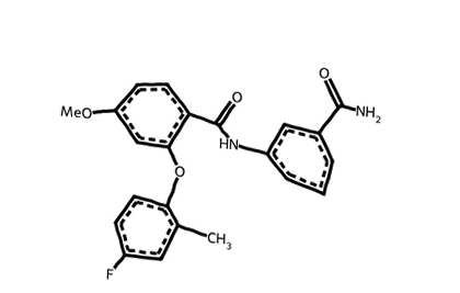 COc1ccc(C(=O)Nc2cccc(C(N)=O)c2)c(Oc2ccc(F)cc2C)c1